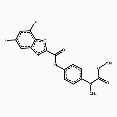 CN(C(=O)OC(C)(C)C)c1ccc(NC(=O)c2nc3cc(F)cc(Br)c3o2)cc1